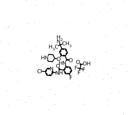 CC(C)(N)c1ccc(C(=O)Nc2ccc(F)cc2C(=O)Nc2ccc(Cl)cn2)c(OC2CCNCC2)c1.O=C(O)C(F)(F)F